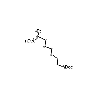 CCCCCCCCCCCCCCCCN(CC)CCCCCCCCCC